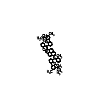 Cc1cc(C(C)(C)C)c2oc3c(N(c4ccccc4C)c4ccc5ccc6c(N(c7ccccc7C)c7cccc8c7oc7c(C(C)(C)C)cc(C)cc78)ccc7ccc4c5c76)cccc3c2c1